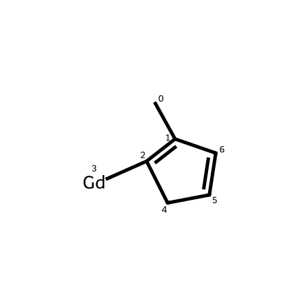 CC1=[C]([Gd])CC=C1